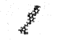 CNc1ccc(Oc2ccnc3cc(OCCCN4CC(O)C5(CC5)C4)ccc23)cn1